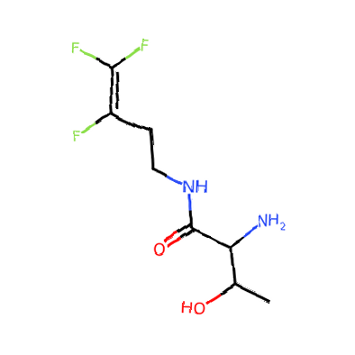 CC(O)C(N)C(=O)NCCC(F)=C(F)F